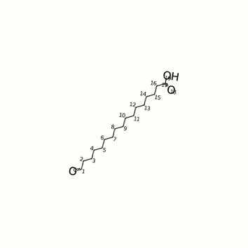 O=CCCCCCCCCCCCCCCCC(=O)O